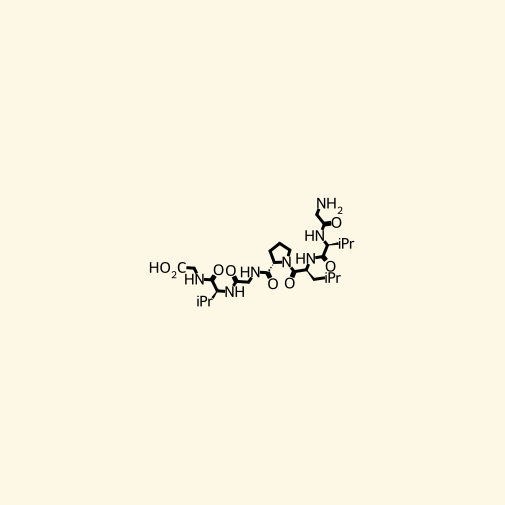 CC(C)C[C@H](NC(=O)[C@@H](NC(=O)CN)C(C)C)C(=O)N1CCC[C@H]1C(=O)NCC(=O)N[C@H](C(=O)NCC(=O)O)C(C)C